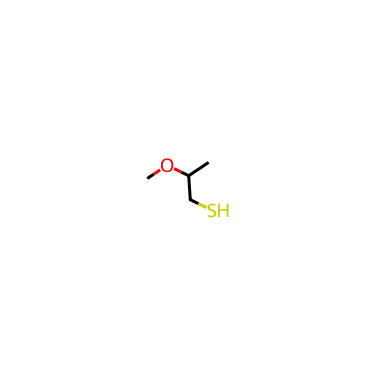 COC(C)CS